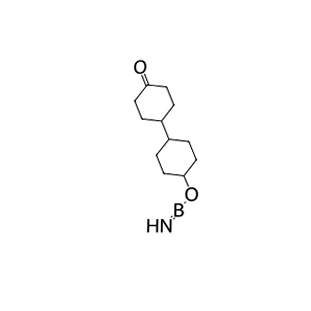 N=BOC1CCC(C2CCC(=O)CC2)CC1